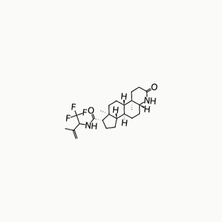 C=C(C)C(NC(=O)[C@H]1CC[C@H]2[C@@H]3CC[C@H]4NC(=O)CC[C@]4(C)[C@H]3CC[C@]12C)C(F)(F)F